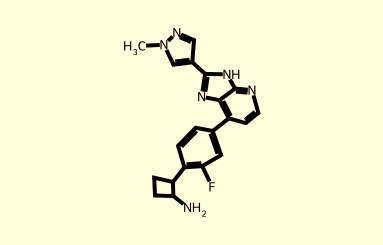 Cn1cc(-c2nc3c(-c4ccc(C5CCC5N)c(F)c4)ccnc3[nH]2)cn1